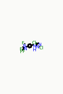 FCn1cc(C(F)(F)F)nc1-c1ccc(CNc2nc(Cl)ncc2Cl)cc1